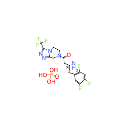 N[C@@H](CC(=O)N1CCn2c(nnc2C(F)(F)F)C1)Cc1cc(F)c(F)cc1F.O=P(O)(O)O